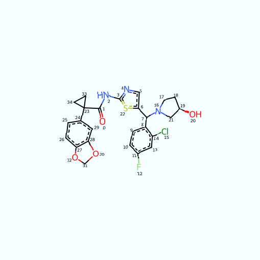 O=C(Nc1ncc(C(c2ccc(F)cc2Cl)N2CC[C@@H](O)C2)s1)C1(c2ccc3c(c2)OCO3)CC1